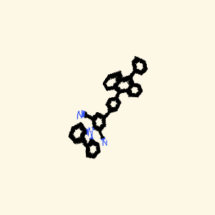 N#Cc1cc(-c2ccc(-c3c4ccccc4c(-c4ccccc4)c4ccccc34)cc2)cc(C#N)c1-n1c2ccccc2c2ccccc21